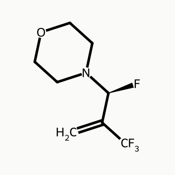 C=C([C@H](F)N1CCOCC1)C(F)(F)F